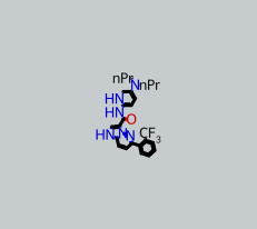 CCCN(CCC)C1=CC=C(NC(=O)C2=CNC3C=CC(c4ccccc4C(F)(F)F)=NN23)NC1